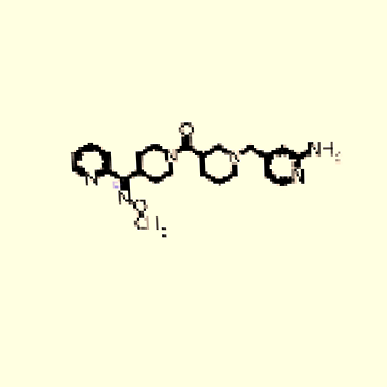 CO/N=C(/c1ccccn1)C1CCN(C(=O)C2CCCN(Cc3ccnc(N)c3)C2)CC1